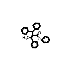 CC(=C(C(=O)Oc1ccccc1)C(c1ccccc1)c1ccccc1)c1ccccc1